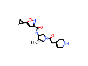 C[C@@H]1CN(C(=O)CC2CCNCC2)CC1NC(=O)c1cc(C2CC2)on1